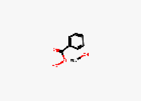 CCCCO.O=C(OO)c1ccccc1